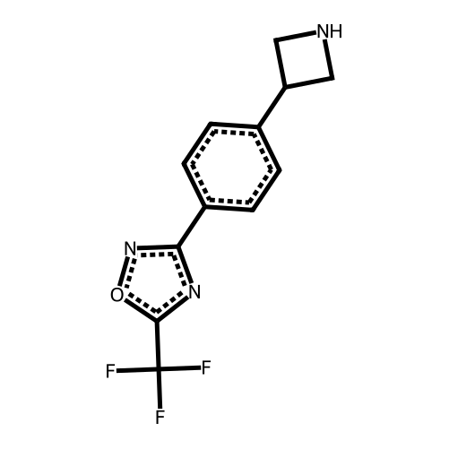 FC(F)(F)c1nc(-c2ccc(C3CNC3)cc2)no1